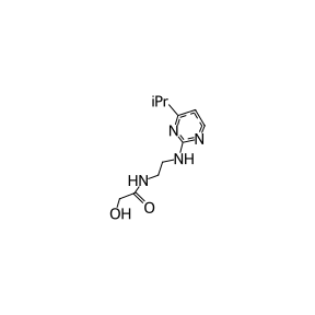 CC(C)c1ccnc(NCCNC(=O)CO)n1